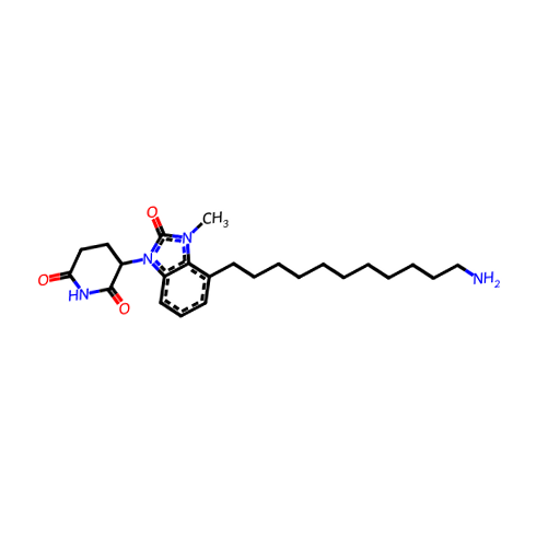 Cn1c(=O)n(C2CCC(=O)NC2=O)c2cccc(CCCCCCCCCCCN)c21